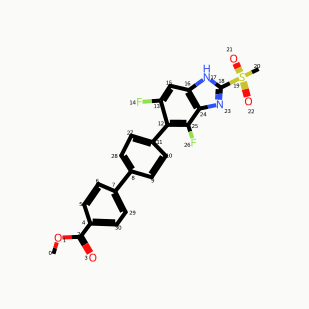 COC(=O)c1ccc(-c2ccc(-c3c(F)cc4[nH]c(S(C)(=O)=O)nc4c3F)cc2)cc1